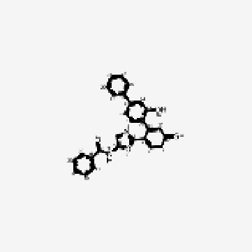 O=C(Nc1cnc(C2=CCC(=S)C=C2c2ccc(-c3ccccc3)cc2O)o1)c1ccccc1